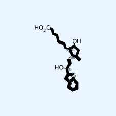 C=C1C[C@H](O)[C@H](CC=CCCCC(=O)O)[C@H]1C=C[C@@H](O)c1cc2ccccc2s1